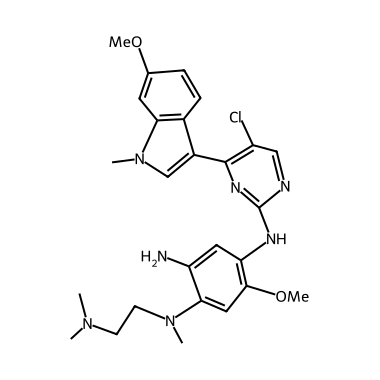 COc1ccc2c(-c3nc(Nc4cc(N)c(N(C)CCN(C)C)cc4OC)ncc3Cl)cn(C)c2c1